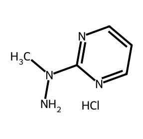 CN(N)c1ncccn1.Cl